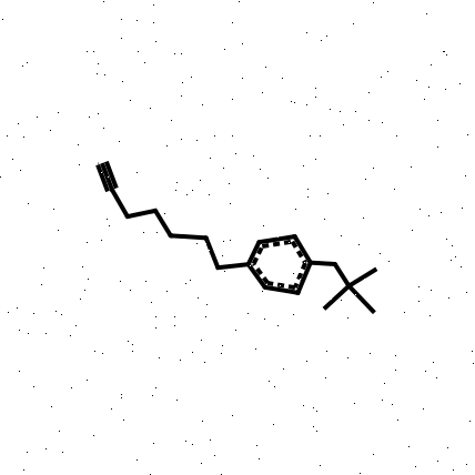 [C]#CCCCCCc1ccc(CC(C)(C)C)cc1